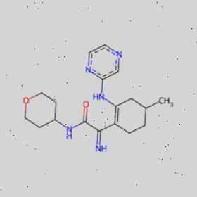 CC1CCC(C(=N)C(=O)NC2CCOCC2)=C(Nc2cnccn2)C1